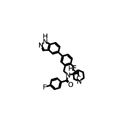 O=C(c1ccc(F)cc1)N(Cc1cc(-c2ccc3[nH]ncc3c2)ccc1F)[C@H]1CN2CCC1CC2